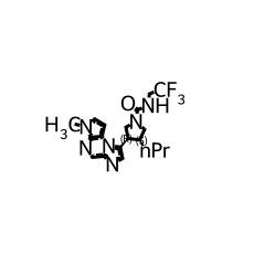 CCC[C@@H]1CN(C(=O)NCC(F)(F)F)C[C@@H]1c1cnc2cnc3c(ccn3C)n12